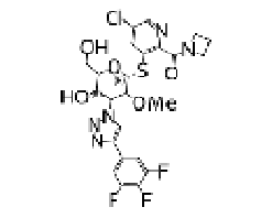 COC1C(n2cc(-c3cc(F)c(F)c(F)c3)nn2)[C@@H](O)C(CO)O[C@@H]1Sc1cc(Cl)cnc1C(=O)N1CCC1